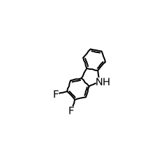 Fc1cc2[nH]c3ccccc3c2cc1F